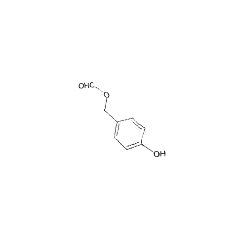 O=COCc1ccc(O)cc1